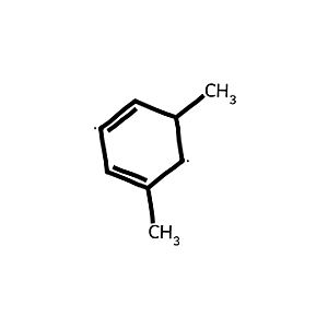 CC1=C[C]=CC(C)[CH]1